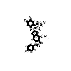 C[C@@H]1C2=C(CC[C@@H]2CN(CC#N)S(=O)(=O)c2cc(F)c(F)cc2F)Cc2c1cnn2-c1ccc(F)cc1